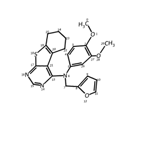 COc1ccc(N(Cc2ccco2)c2ncnc3sc4c(c23)CCCC4)cc1OC